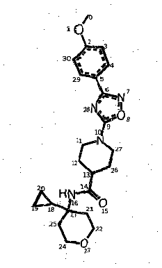 COc1ccc(-c2noc(N3CCC(C(=O)NC4(C5CC5)CCOCC4)CC3)n2)cc1